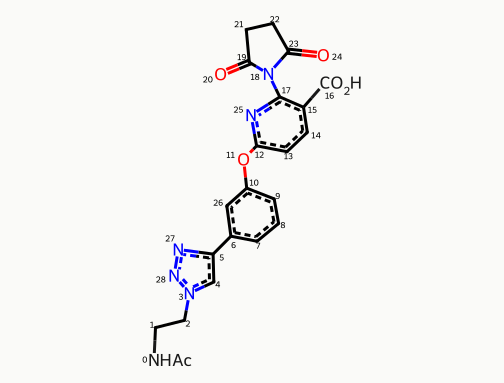 CC(=O)NCCn1cc(-c2cccc(Oc3ccc(C(=O)O)c(N4C(=O)CCC4=O)n3)c2)nn1